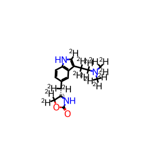 [2H]c1[nH]c2ccc(C([2H])([2H])[C@@H]3NC(=O)OC3([2H])[2H])cc2c1C([2H])([2H])C([2H])([2H])N(C([2H])([2H])[2H])C([2H])([2H])[2H]